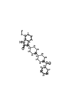 CCc1cccc2c1[nH]c(=O)n2C1CCN(C2CCN(C(=O)c3cncnc3)CC2)CC1